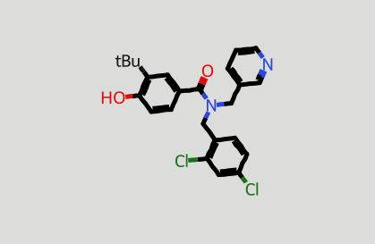 CC(C)(C)c1cc(C(=O)N(Cc2cccnc2)Cc2ccc(Cl)cc2Cl)ccc1O